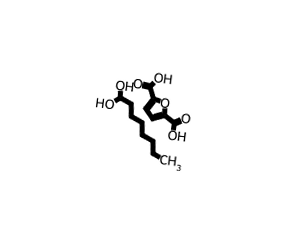 CCCCCCCC(O)O.O=C(O)c1ccc(C(=O)O)o1